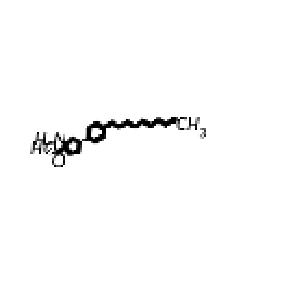 CCCCCCCCCCc1ccc([C@H]2CC[C@](N)(C(=O)O)C2)cc1